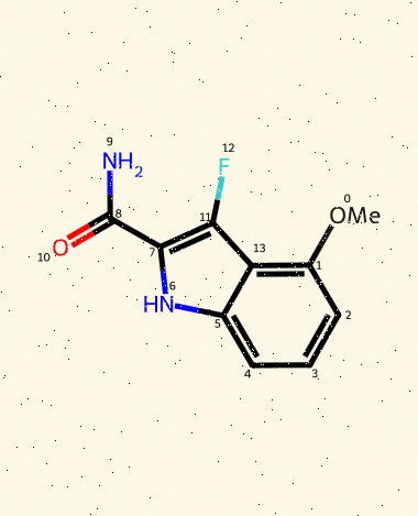 COc1cccc2[nH]c(C(N)=O)c(F)c12